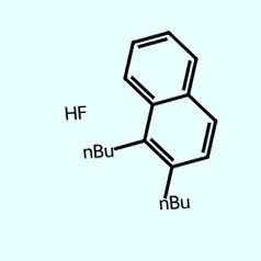 CCCCc1ccc2ccccc2c1CCCC.F